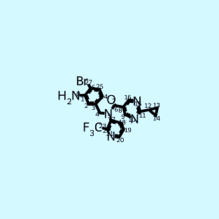 Nc1cc(CN(C(=O)c2cnc(C3CC3)nc2)c2cccnc2C(F)(F)F)ccc1Br